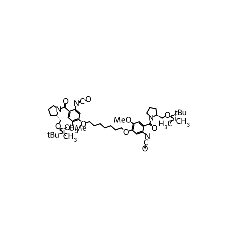 COc1cc(C(=O)N2CCC[C@H]2CO[Si](C)(C)C(C)(C)C)c(N=C=O)cc1OCCCCCCCOc1cc(N=C=O)c(C(=O)N2CCC[C@H]2CO[Si](C)(C)C(C)(C)C)cc1OC